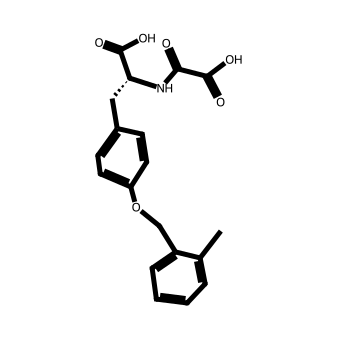 Cc1ccccc1COc1ccc(C[C@@H](NC(=O)C(=O)O)C(=O)O)cc1